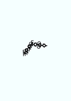 CC1CCC(C2COC(C3CCC(C(F)(F)Oc4ccc(-c5ccc(C(F)(F)F)c(F)c5)c(F)c4)CC3)OC2)CC1